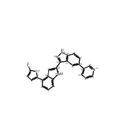 Fc1ccc(-c2cccc3[nH]c(-c4n[nH]c5ccc(-c6cccnc6)cc45)cc23)s1